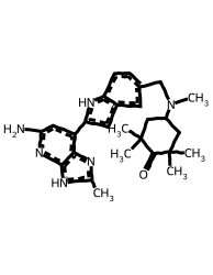 Cc1nc2c(-c3cc4cc(CN(C)C5CC(C)(C)C(=O)C(C)(C)C5)ccc4[nH]3)cc(N)nc2[nH]1